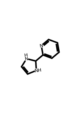 C1=CNC(c2ccccn2)N1